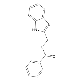 O=C(OCc1nc2ccccc2[nH]1)c1ccccc1